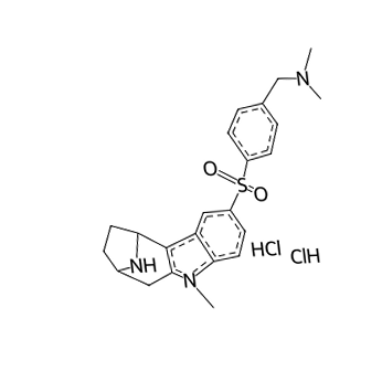 CN(C)Cc1ccc(S(=O)(=O)c2ccc3c(c2)c2c(n3C)CC3CCC2N3)cc1.Cl.Cl